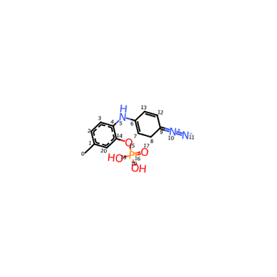 Cc1ccc(NC2=CCC(=[N+]=[N-])C=C2)c(OP(=O)(O)O)c1